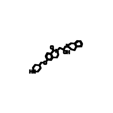 O=C1c2ccc(OCC3CCNCC3)cc2CCN1CC(O)CN1CCc2ccccc2C1